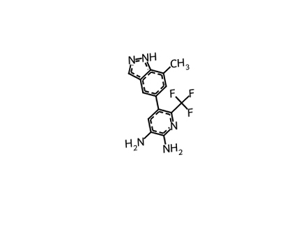 Cc1cc(-c2cc(N)c(N)nc2C(F)(F)F)cc2cn[nH]c12